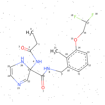 CCC(=O)NC1(C(=O)NCc2cccc(OCC(F)F)c2C)C=NC=CN1